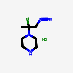 CC(Cl)(CN=N)N1CCNCC1.Cl